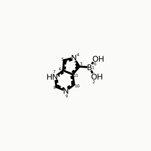 OB(O)c1ncc2[nH]cncc1-2